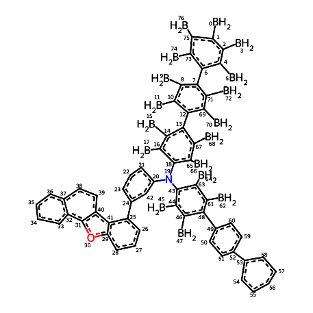 Bc1c(B)c(B)c(-c2c(B)c(B)c(-c3c(B)c(B)c(N(c4cccc(-c5cccc6oc7c8ccccc8ccc7c56)c4)c4c(B)c(B)c(-c5ccc(-c6ccccc6)cc5)c(B)c4B)c(B)c3B)c(B)c2B)c(B)c1B